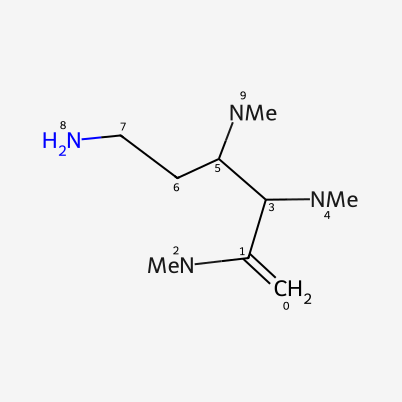 C=C(NC)C(NC)C(CCN)NC